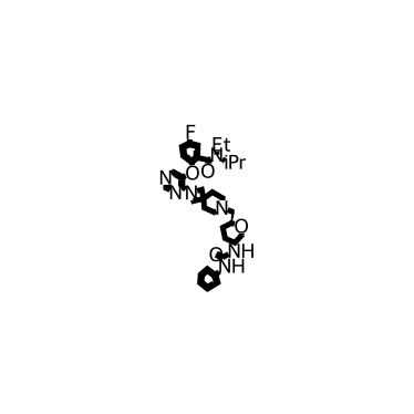 CCN(C(=O)c1cc(F)ccc1Oc1cncnc1N1CC2(CCN(C[C@@H]3CC[C@@H](NC(=O)Nc4ccccc4)CO3)CC2)C1)C(C)C